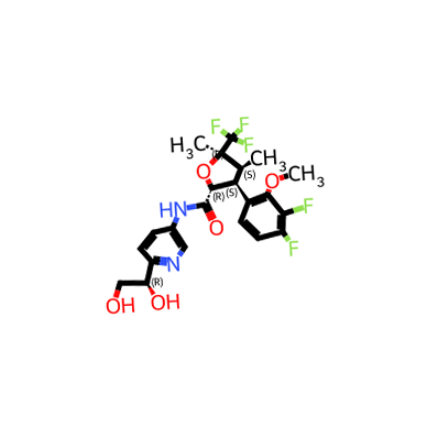 COc1c([C@H]2[C@H](C(=O)Nc3ccc([C@@H](O)CO)nc3)O[C@@](C)(C(F)(F)F)[C@H]2C)ccc(F)c1F